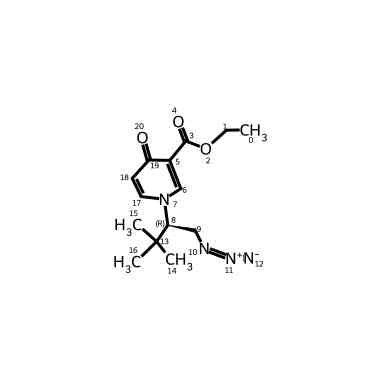 CCOC(=O)c1cn([C@@H](CN=[N+]=[N-])C(C)(C)C)ccc1=O